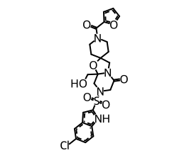 O=C(c1ccco1)N1CCC2(CC1)CN1C(=O)CN(S(=O)(=O)c3cc4cc(Cl)ccc4[nH]3)CC1(CO)O2